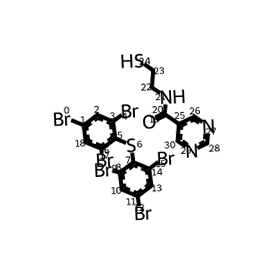 Brc1cc(Br)c(Sc2c(Br)cc(Br)cc2Br)c(Br)c1.O=C(NCCS)c1cncnc1